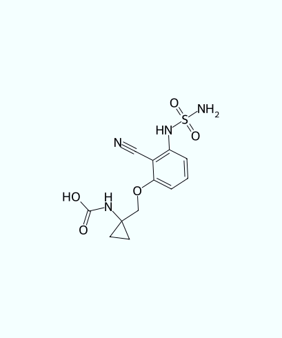 N#Cc1c(NS(N)(=O)=O)cccc1OCC1(NC(=O)O)CC1